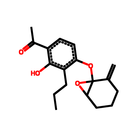 C=C1CCCC2OC12Oc1ccc(C(C)=O)c(O)c1CCC